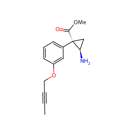 CC#CCOc1cccc([C@@]2(C(=O)OC)C[C@H]2N)c1